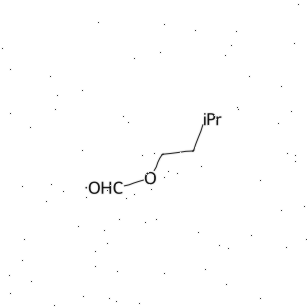 CC(C)CCO[C]=O